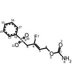 NC(=O)OC/C=C(\F)CS(=O)(=O)c1ccccc1